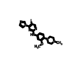 COc1cc(Nc2ncc(I)c(-n3ccnc3)n2)ccc1N1CCN(C)CC1